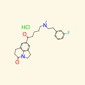 CN(CCCCC(=O)c1cc2c3c(c1)CCN3C(=O)CC2)CCc1cccc(F)c1.Cl